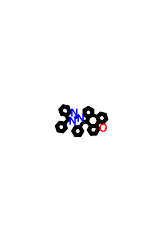 c1ccc(-c2nc(-n3c(-c4ccccc4)c4c5c(cccc53)-c3cccc5oc6cccc-4c6c35)nc3ccccc23)cc1